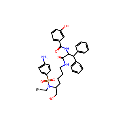 CC(C)CN(C(CO)CCCCNC(=O)C(NC(=O)c1cccc(O)c1)C(c1ccccc1)c1ccccc1)S(=O)(=O)c1ccc(N)cc1